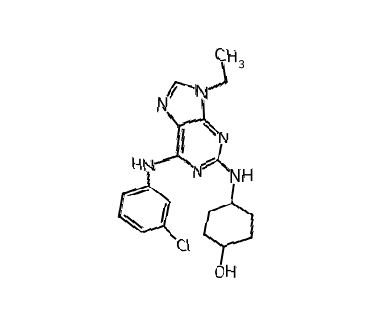 CCn1cnc2c(Nc3cccc(Cl)c3)nc(NC3CCC(O)CC3)nc21